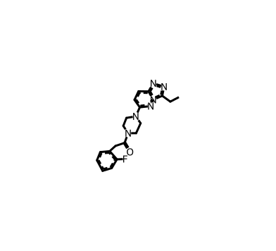 CCc1nnc2ccc(N3CCN(C(=O)Cc4ccccc4F)CC3)nn12